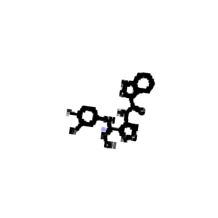 O=C(Nc1nonc1/C(=N\O)Nc1ccc(F)c(Br)c1)c1onc2ccccc12